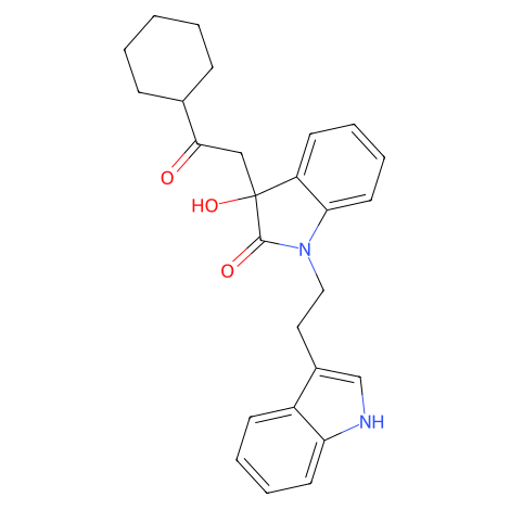 O=C(CC1(O)C(=O)N(CCc2c[nH]c3ccccc23)c2ccccc21)C1CCCCC1